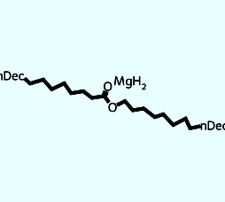 CCCCCCCCCCCCCCCCCCOC(=O)CCCCCCCCCCCCCCCCC.[MgH2]